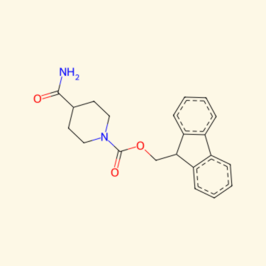 NC(=O)C1CCN(C(=O)OCC2c3ccccc3-c3ccccc32)CC1